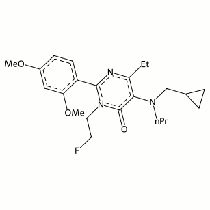 CCCN(CC1CC1)c1c(CC)nc(-c2ccc(OC)cc2OC)n(CCF)c1=O